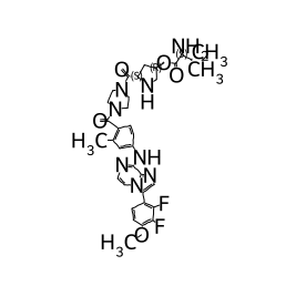 COc1ccc(-c2cnc3c(Nc4ccc(C(=O)N5CCN(C(=O)[C@@H]6C[C@@H](OC(=O)[C@@H](N)C(C)C)CN6)CC5)c(C)c4)nccn23)c(F)c1F